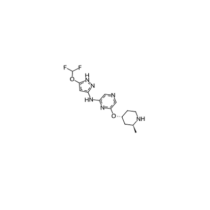 C[C@H]1C[C@H](Oc2cncc(Nc3cc(OC(F)F)[nH]n3)n2)CCN1